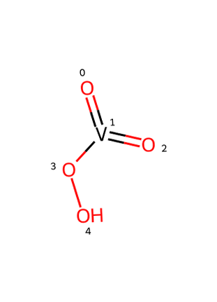 [O]=[V](=[O])[O]O